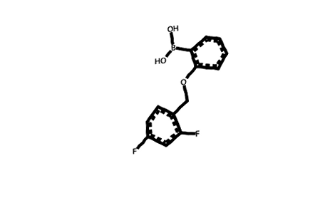 OB(O)c1ccccc1OCc1ccc(F)cc1F